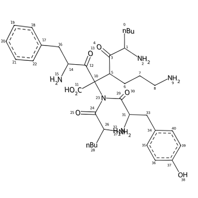 CCCCC(N)C(=O)C(CCCN)C(C(=O)O)(C(=O)C(N)Cc1ccccc1)N(C(=O)C(N)CCCC)C(=O)C(N)Cc1ccc(O)cc1